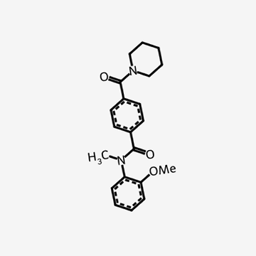 COc1ccccc1N(C)C(=O)c1ccc(C(=O)N2CCCCC2)cc1